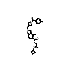 Cc1c(C(=O)NCC(C)OC2CCC2)ccc2nn(CC3CN(C(=O)c4ccc(Cl)cc4)C3)cc12